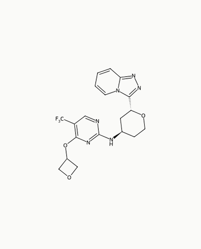 FC(F)(F)c1cnc(N[C@@H]2CCO[C@@H](c3nnc4ccccn34)C2)nc1OC1COC1